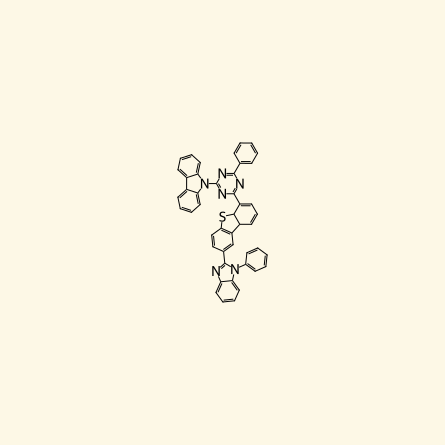 C1=CC2c3cc(-c4nc5ccccc5n4-c4ccccc4)ccc3SC2C(c2nc(-c3ccccc3)nc(-n3c4ccccc4c4ccccc43)n2)=C1